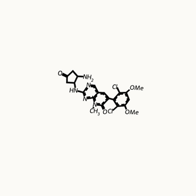 COc1cc(OC)c(Cl)c(-c2cc3cnc(NC4CC(=O)CC4N)nc3n(C)c2=O)c1Cl